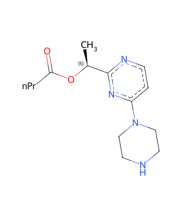 CCCC(=O)O[C@@H](C)c1nccc(N2CCNCC2)n1